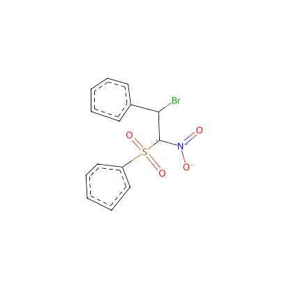 O=[N+]([O-])[C](C(Br)c1ccccc1)S(=O)(=O)c1ccccc1